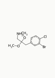 COC(CN)(Cc1ccc(Cl)c(Br)c1)OC